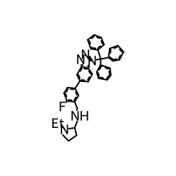 CCN1CCCC1CNCc1cc(-c2ccc3c(c2)nnn3C(c2ccccc2)(c2ccccc2)c2ccccc2)ccc1F